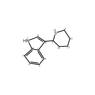 [c]1[nH]c2ccccc2c1C1CCCCS1